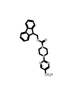 O=C(O)c1cnc(N2CCN(C(=O)OCC3c4ccccc4-c4ccccc43)CC2)nc1